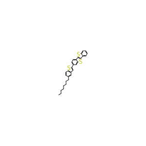 CCCCCCCCc1ccc2sc(-c3ccc4c(c3)sc3c5ccccc5sc43)cc2c1